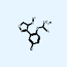 CCOC1CON=C1c1cc(Br)ccc1OC(C(=O)O)C(C)C